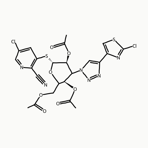 CC(=O)OCC1O[C@H](Sc2cc(Cl)cnc2C#N)[C@@H](OC(C)=O)C(n2cc(-c3csc(Cl)n3)nn2)[C@H]1OC(C)=O